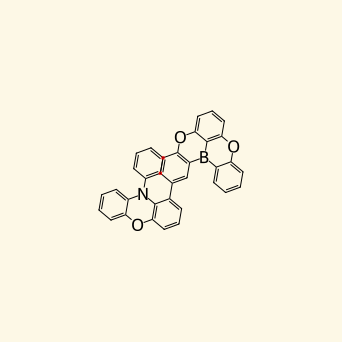 c1ccc(N2c3ccccc3Oc3cccc(-c4ccc5c(c4)B4c6ccccc6Oc6cccc(c64)O5)c32)cc1